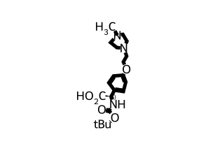 CN1CCN(CCOc2ccc([C@H](NC(=O)OC(C)(C)C)C(=O)O)cc2)CC1